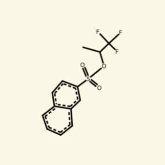 CC(OS(=O)(=O)c1ccc2ccccc2c1)C(F)(F)F